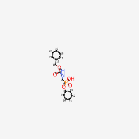 O=C(NCP(=O)(O)Oc1ccccc1)OCc1ccccc1